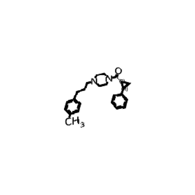 Cc1ccc(CCCN2CCN(C(=O)[C@@H]3C[C@H]3c3ccccc3)CC2)cc1